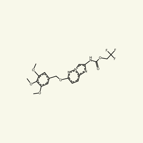 COc1cc(COc2ccc3nc(NC(=O)OCC(F)(F)F)cn3n2)cc(OC)c1OC